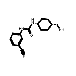 N#Cc1cccc(NC(=O)N[C@H]2CC[C@@H](CN)CC2)c1